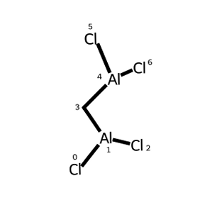 [Cl][Al]([Cl])[CH2][Al]([Cl])[Cl]